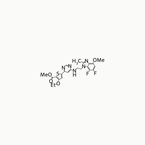 CCOc1cc(-c2cc(NCCn3c(C)nc4c(OC)cc(F)c(F)c43)ncn2)sc1C(=O)OC